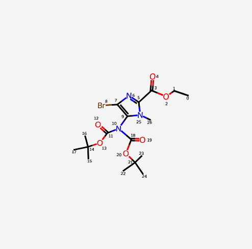 CCOC(=O)c1nc(Br)c(N(C(=O)OC(C)(C)C)C(=O)OC(C)(C)C)n1C